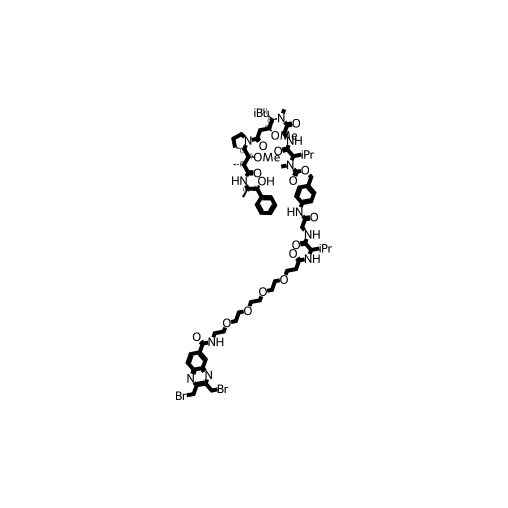 CC[C@H](C)[C@@H]([C@@H](CC(=O)N1CCC[C@H]1[C@H](OC)[C@@H](C)C(=O)N[C@H](C)[C@@H](O)c1ccccc1)OC)N(C)C(=O)CNC(=O)C(C(C)C)N(C)C(=O)OCc1ccc(NC(=O)CNC(=O)C(NC(=O)CCOCCOCCOCCOCCNC(=O)c2ccc3nc(CBr)c(CBr)nc3c2)C(C)C)cc1